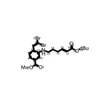 COC(=O)c1ccc(C=C(Br)Br)c(NCCC/C=C/C(=O)OC(C)(C)C)c1